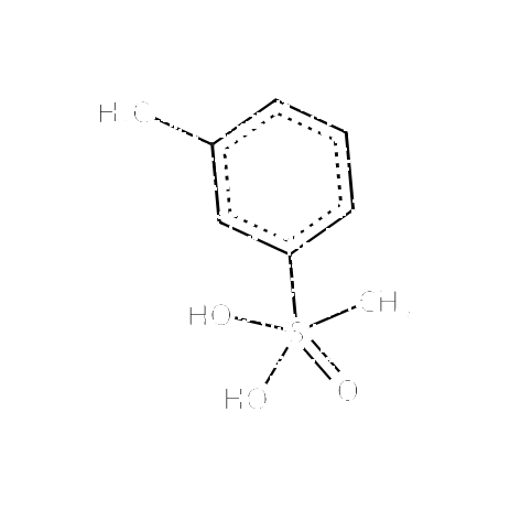 Cc1cccc(S(C)(=O)(O)O)c1